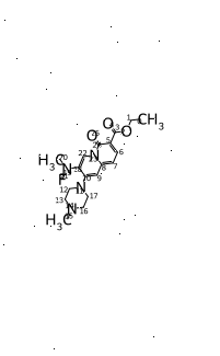 CCOC(=O)c1ccc2cc(N3CCN(C)CC3)c(N(C)F)cn2c1=O